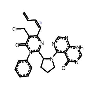 C=C/C=C\c1nc(C2CCCN2c2ncnc3[nH]cnc(=O)c23)n(-c2ccccc2)c(=O)c1CCl